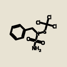 NS(=O)(=O)N(Cc1ccccc1)SC(Cl)(Cl)Cl